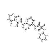 O=C(Nc1cccc2c(NNS(=O)(=O)Cc3ccccc3)ccnc12)c1c(Cl)cccc1Cl